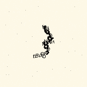 Cc1cc(Nc2ncnc3ccc(O[C@H]4CCN(C(=O)OC(C)(C)C)C4)cc23)ccc1Oc1ccn2ncnc2c1